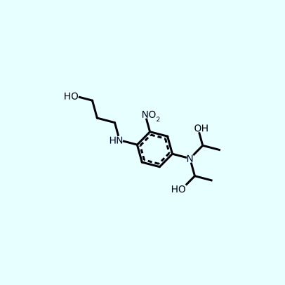 CC(O)N(c1ccc(NCCCO)c([N+](=O)[O-])c1)C(C)O